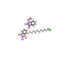 O=C1NC(=O)c2c(CCCCCCCCCCCCBr)cccc21.O=C1NC(=O)c2ccccc21.[K]